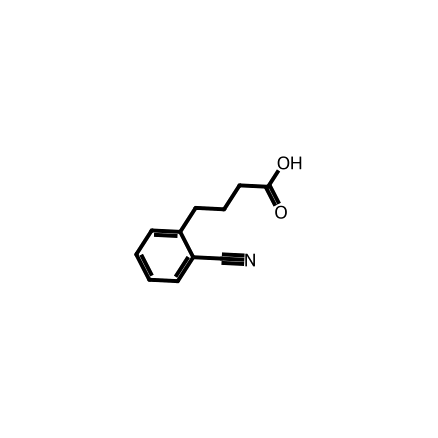 N#Cc1ccccc1CCCC(=O)O